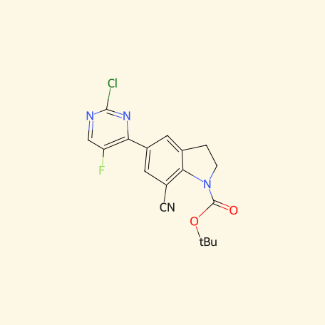 CC(C)(C)OC(=O)N1CCc2cc(-c3nc(Cl)ncc3F)cc(C#N)c21